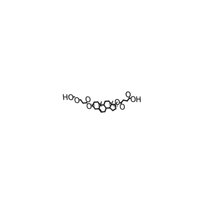 C[C@]12CC[C@H](OC(=O)CCOCO)CC1=CCC1C2CC[C@@]2(C)C1CC[C@@H]2OC(=O)CCC(=O)O